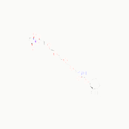 C/C1=C/C(OCC(=O)NCCOCCOCCOCCOCCC(=O)ON2C(=O)CCC2=O)CCCCC1